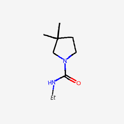 CCNC(=O)N1CCC(C)(C)C1